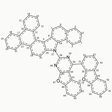 c1ccc2c(c1)ccc1c3c4c5ccccc5c5ccccc5c4ccc3n(-c3nc(-c4cccc5c4oc4ccccc45)c4c(n3)oc3ccccc34)c21